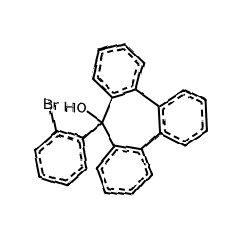 OC1(c2ccccc2Br)c2ccccc2-c2ccccc2-c2ccccc21